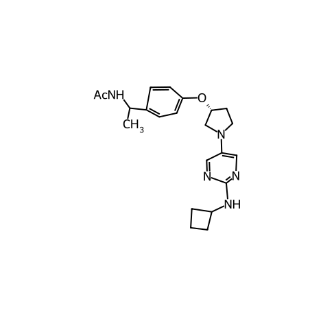 CC(=O)NC(C)c1ccc(O[C@@H]2CCN(c3cnc(NC4CCC4)nc3)C2)cc1